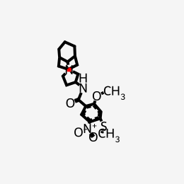 COc1cc(SC)c([N+](=O)[O-])cc1C(=O)NC1CCN(C2C3CCCC2CCC3)C1